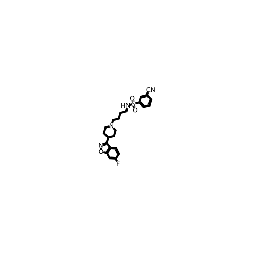 N#Cc1cccc(S(=O)(=O)NCCCCN2CCC(c3noc4cc(F)ccc34)CC2)c1